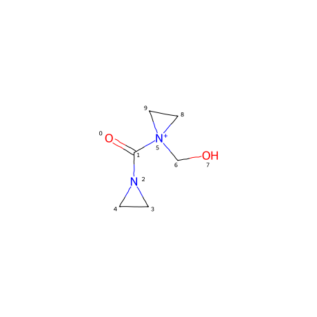 O=C(N1CC1)[N+]1(CO)CC1